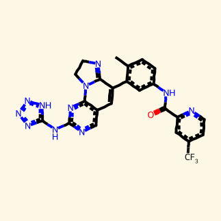 Cc1ccc(NC(=O)c2cc(C(F)(F)F)ccn2)cc1C1=Cc2cnc(Nc3nnn[nH]3)nc2N2CCN=C12